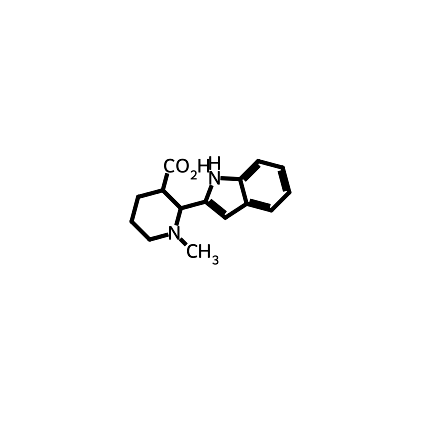 CN1CCCC(C(=O)O)C1c1cc2ccccc2[nH]1